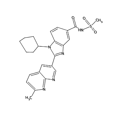 Cc1ccc2cc(-c3nc4cc(C(=O)NS(C)(=O)=O)ccc4n3C3CCCCC3)cnc2n1